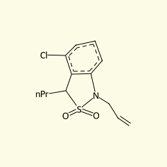 C=CCN1c2cccc(Cl)c2C(CCC)S1(=O)=O